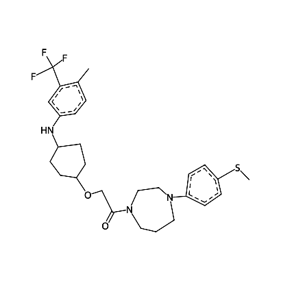 CSc1ccc(N2CCCN(C(=O)COC3CCC(Nc4ccc(C)c(C(F)(F)F)c4)CC3)CC2)cc1